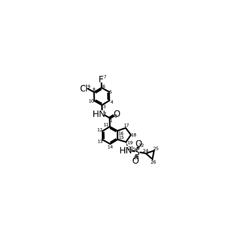 O=C(Nc1ccc(F)c(Cl)c1)c1cccc2c1CC[C@@H]2NS(=O)(=O)C1CC1